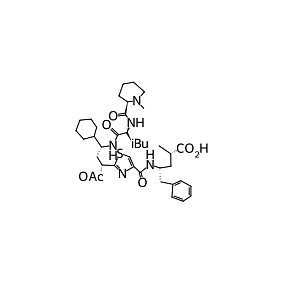 CC[C@H](C)[C@H](NC(=O)[C@H]1CCCCN1C)C(=O)N[C@H](C[C@@H](OC(C)=O)c1nc(C(=O)N[C@@H](Cc2ccccc2)C[C@H](C)C(=O)O)cs1)C1CCCCC1